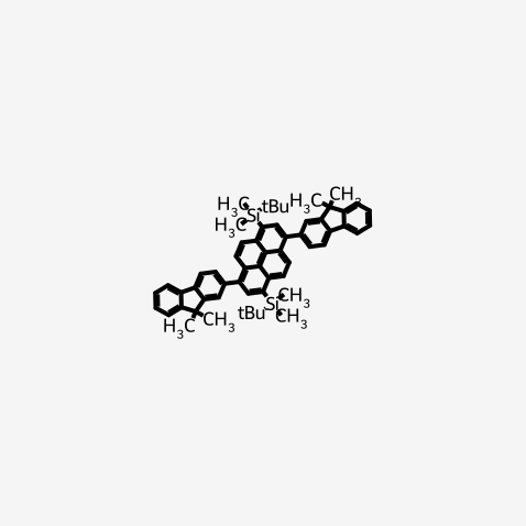 CC1(C)c2ccccc2-c2ccc(-c3cc([Si](C)(C)C(C)(C)C)c4ccc5c(-c6ccc7c(c6)C(C)(C)c6ccccc6-7)cc([Si](C)(C)C(C)(C)C)c6ccc3c4c56)cc21